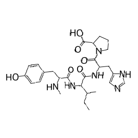 CCC(C)C(NC(=O)C(Cc1ccc(O)cc1)NC)C(=O)NC(Cc1cnc[nH]1)C(=O)N1CCCC1C(=O)O